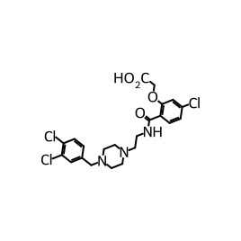 O=C(O)COc1cc(Cl)ccc1C(=O)NCCN1CCN(Cc2ccc(Cl)c(Cl)c2)CC1